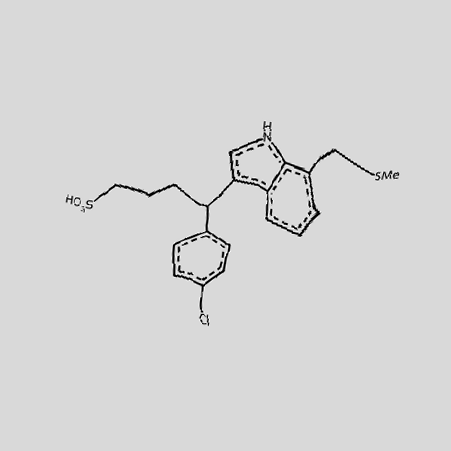 CSCc1cccc2c(C(CCCS(=O)(=O)O)c3ccc(Cl)cc3)c[nH]c12